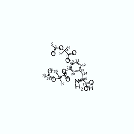 CC(=O)OC(C)(C)C(=O)Oc1ccc(C[C@H](N)C(=O)O)cc1OC(=O)C(C)(C)OC(C)=O